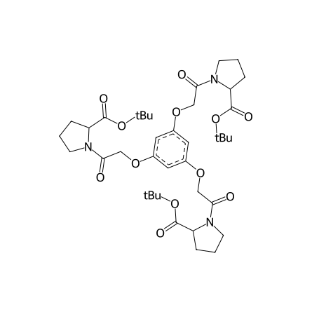 CC(C)(C)OC(=O)C1CCCN1C(=O)COc1cc(OCC(=O)N2CCCC2C(=O)OC(C)(C)C)cc(OCC(=O)N2CCCC2C(=O)OC(C)(C)C)c1